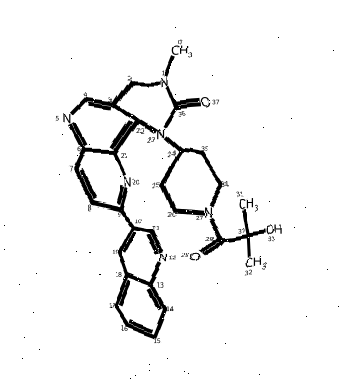 CN1Cc2cnc3ccc(-c4cnc5ccccc5c4)nc3c2N(C2CCN(C(=O)C(C)(C)O)CC2)C1=O